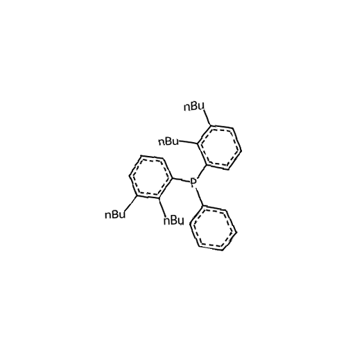 CCCCc1cccc(P(c2ccccc2)c2cccc(CCCC)c2CCCC)c1CCCC